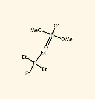 CC[P+](CC)(CC)CC.COP(=O)([O-])OC